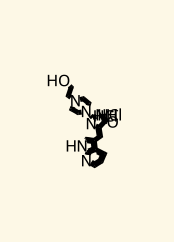 Cl.Cl.O=C1NC(N2CCN(CCO)CC2)=NC1=Cc1c[nH]c2ncccc12